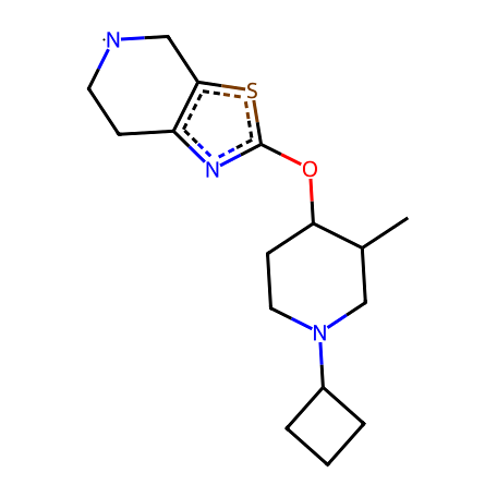 CC1CN(C2CCC2)CCC1Oc1nc2c(s1)C[N]CC2